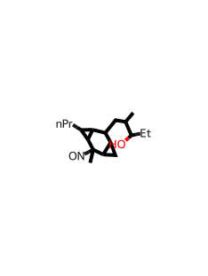 CCCC1C2C(CC(C)C(O)CC)C3CC3C(C)(N=O)C12